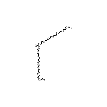 COCCOCCOCCOCCOCCOCCOC(=O)OCCOCCOCCOCCOCCOCCOC